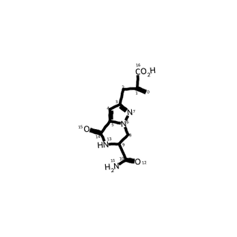 C=C(Cc1cc2n(n1)CC(C(N)=O)NC2=O)C(=O)O